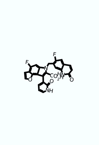 O=C(O)c1c(-c2ccc[nH]c2=O)c2c3occc3c(F)cc2n1Cc1cc2[nH]c(=O)ccc2cc1F